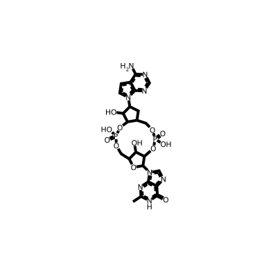 Cc1nc2c(ncn2C2OC3COP(=O)(O)OC4C(COP(=O)(O)OC2C3O)CC(n2ccc3c(N)ncnc32)C4O)c(=O)[nH]1